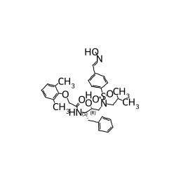 Cc1cccc(C)c1OCC(=O)N[C@@H](Cc1ccccc1)[C@H](O)CN(CC(C)C)S(=O)(=O)c1ccc(C=NO)cc1